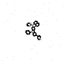 c1ccc(-n2c3ccc(-c4ccncc4)cc3c3cc4c(cc32)N(c2ncccn2)c2cccc3cccc-4c23)cc1